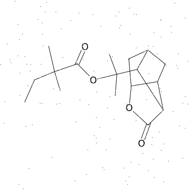 CCC(C)(C)C(=O)OC(C)(C)C1C2CC3OC(=O)C1C3C2